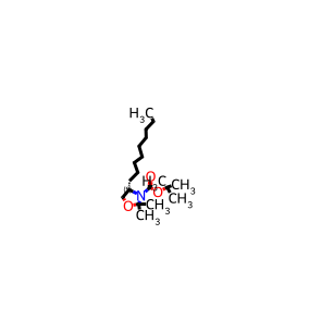 CCCCCCCCC[C@H]1COC(C)(C)N1C(=O)OC(C)(C)C